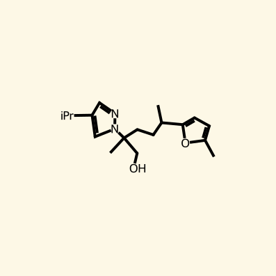 Cc1ccc(C(C)CCC(C)(CO)n2cc(C(C)C)cn2)o1